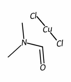 CN(C)C=O.[Cl][Cu][Cl]